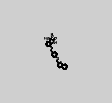 CC1(C)C(=O)Nc2c(OCc3ccc(OCc4ccc5ccccc5n4)cc3)cccc21